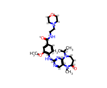 COc1cc(C(=O)NCCN2CCOCC2)ccc1Nc1ncc2c(n1)N(C(C)C)CCC(=O)N2C